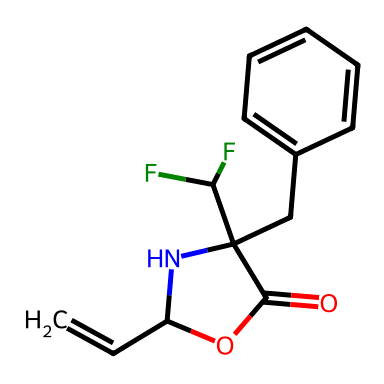 C=CC1NC(Cc2ccccc2)(C(F)F)C(=O)O1